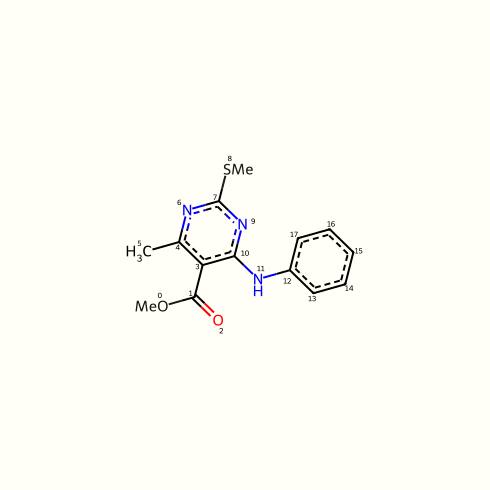 COC(=O)c1c(C)nc(SC)nc1Nc1ccccc1